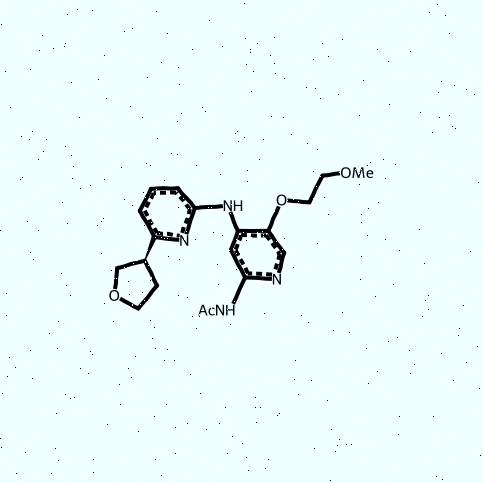 COCCOc1cnc(NC(C)=O)cc1Nc1cccc([C@H]2CCOC2)n1